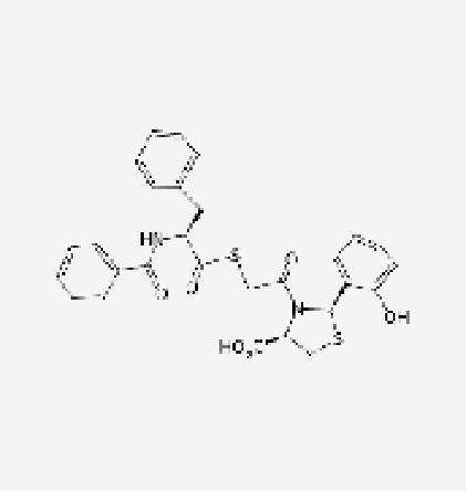 O=C(N[C@@H](Cc1ccccc1)C(=O)SCC(=O)N1[C@@H](c2ccccc2O)SC[C@H]1C(=O)O)c1ccccc1